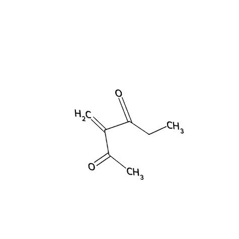 C=C(C(C)=O)C(=O)CC